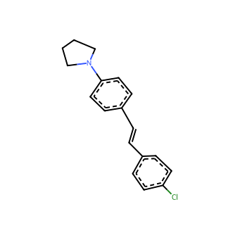 Clc1ccc(C=Cc2ccc(N3CCCC3)cc2)cc1